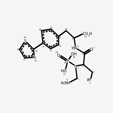 CC(=O)NCN(C(CC(C)C)C(=O)NC(Cc1ccc(-c2nccs2)cc1)C(=O)O)P(=O)(O)O